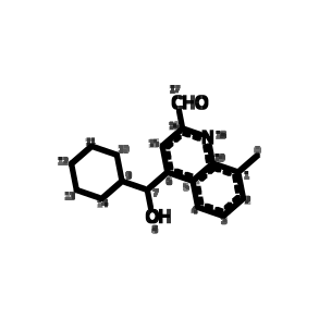 Cc1cccc2c(C(O)C3CCCCC3)cc(C=O)nc12